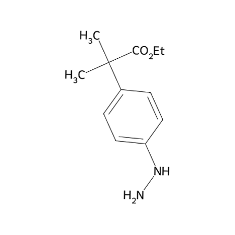 CCOC(=O)C(C)(C)c1ccc(NN)cc1